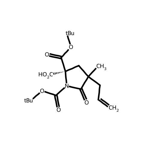 C=CCC1(C)C[C@](C(=O)O)(C(=O)OC(C)(C)C)N(C(=O)OC(C)(C)C)C1=O